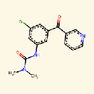 CN(C)C(=O)Nc1cc(Br)cc(C(=O)c2cccnc2)c1